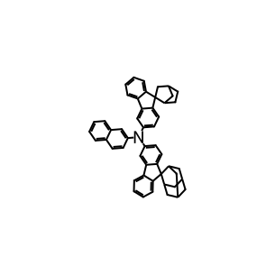 c1ccc2c(c1)-c1cc(N(c3ccc4c(c3)-c3ccccc3C43C4CC5CC(C4)CC3C5)c3ccc4ccccc4c3)ccc1C21CC2CCC1C2